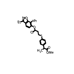 CCCc1c(OC(Cl)CCSc2ccc(C(C)C(=O)OC)cc2)ccc2c(CC)noc12